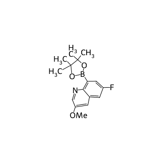 COc1cnc2c(B3OC(C)(C)C(C)(C)O3)cc(F)cc2c1